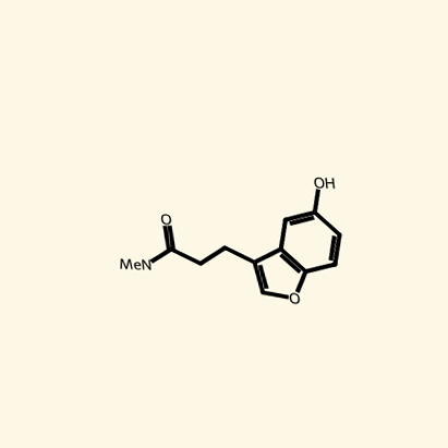 CNC(=O)CCc1coc2ccc(O)cc12